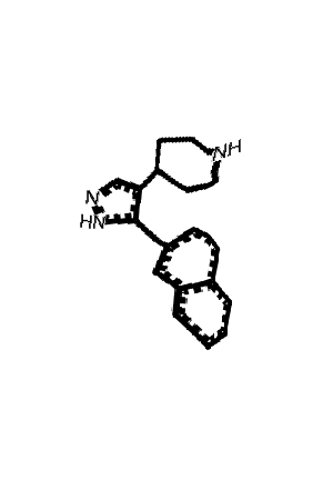 c1ccc2cc(-c3[nH]ncc3C3CCNCC3)ccc2c1